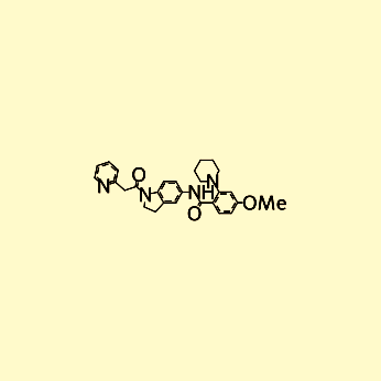 COc1ccc(C(=O)Nc2ccc3c(c2)CCN3C(=O)Cc2ccccn2)c(N2CCCCC2)c1